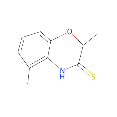 Cc1cccc2c1NC(=S)C(C)O2